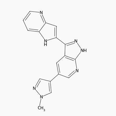 Cn1cc(-c2cnc3[nH]nc(-c4cc5ncccc5[nH]4)c3c2)cn1